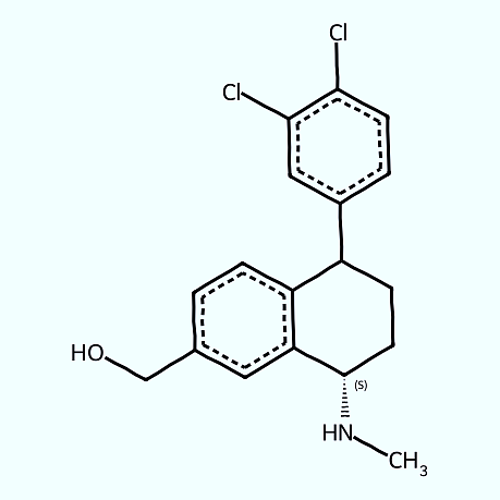 CN[C@H]1CCC(c2ccc(Cl)c(Cl)c2)c2ccc(CO)cc21